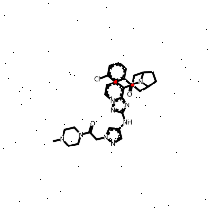 CN1CCN(C(=O)Cn2cc(Nc3nc4c(N5CC6CCC(C5)N6C(=O)c5cccc(Cl)c5)cccn4n3)cn2)CC1